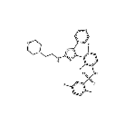 O=S(=O)(Nc1ccc(F)c(-c2nc(NCCN3CCOCC3)sc2-c2ccncc2)c1F)c1cc(F)ccc1F